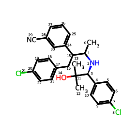 CC(N[C@@H](c1ccc(Cl)cc1)C(C)(C)O)C(Cc1ccc(Cl)cc1)c1cccc(C#N)c1